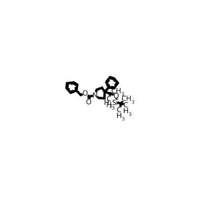 CC(C)(C)[SiH2]OC(C)(C)C1(c2ccccc2)CCN(C(=O)OCc2ccccc2)CC1